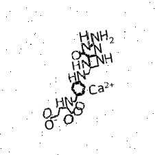 Nc1nc2c(c(=O)[nH]1)N[C@H](CNc1ccc(C(=O)NC(CCC(=O)[O-])C(=O)[O-])cc1)CN2.[Ca+2]